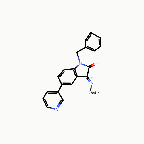 CO/N=C1/C(=O)N(Cc2ccccc2)c2ccc(-c3cccnc3)cc21